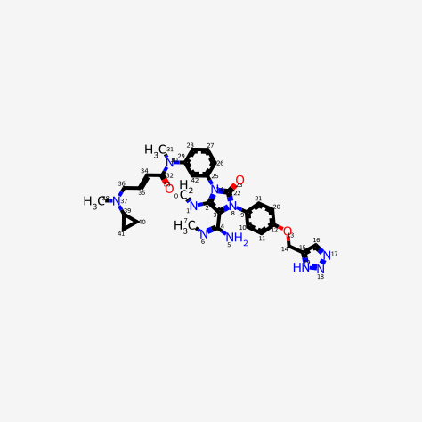 C=Nc1c(/C(N)=N\C)n(-c2ccc(OCc3cnn[nH]3)cc2)c(=O)n1-c1cccc(N(C)C(=O)/C=C/CN(C)C2CC2)c1